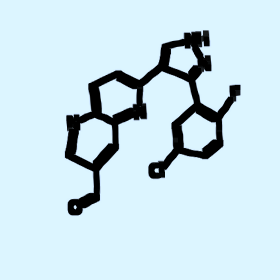 O=Cc1cnc2ccc(-c3c[nH]nc3-c3cc(Cl)ccc3F)nc2c1